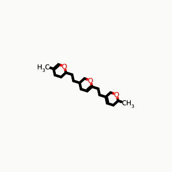 CC1=COC(CCC2CC=C(CCC3=CCC(C)OC3)OC2)CC1